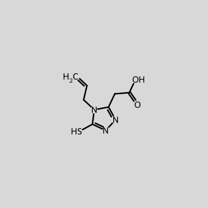 C=CCn1c(S)nnc1CC(=O)O